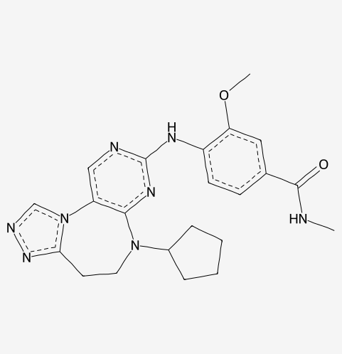 CNC(=O)c1ccc(Nc2ncc3c(n2)N(C2CCCC2)CCc2nncn2-3)c(OC)c1